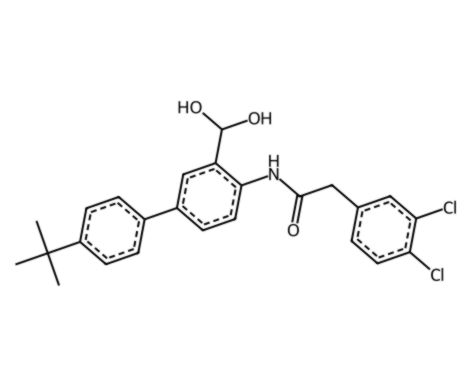 CC(C)(C)c1ccc(-c2ccc(NC(=O)Cc3ccc(Cl)c(Cl)c3)c(C(O)O)c2)cc1